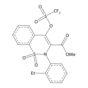 CCc1ccccc1N1C(C(=O)OC)=C(OS(=O)(=O)C(F)(F)F)c2ccccc2S1(=O)=O